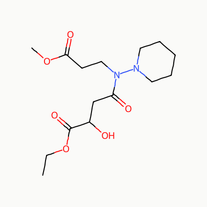 CCOC(=O)C(O)CC(=O)N(CCC(=O)OC)N1CCCCC1